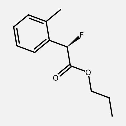 CCCOC(=O)[C@H](F)c1ccccc1C